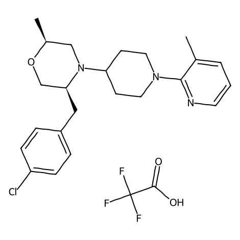 Cc1cccnc1N1CCC(N2C[C@H](C)OC[C@@H]2Cc2ccc(Cl)cc2)CC1.O=C(O)C(F)(F)F